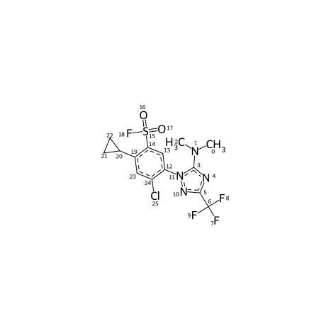 CN(C)c1nc(C(F)(F)F)nn1-c1cc(S(=O)(=O)F)c(C2CC2)cc1Cl